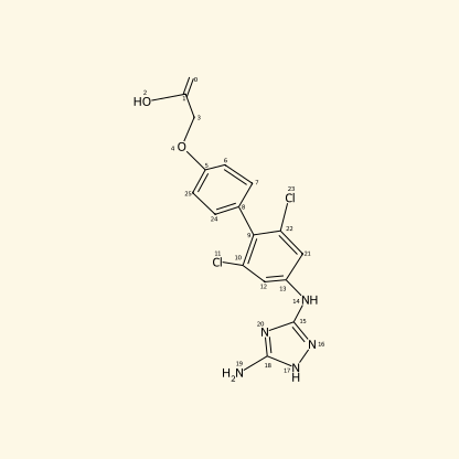 C=C(O)COc1ccc(-c2c(Cl)cc(Nc3n[nH]c(N)n3)cc2Cl)cc1